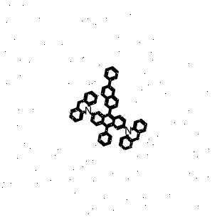 C1=CC2=C(CC1)Cc1ccccc1N2c1ccc2c(-c3ccc4cc(-c5ccccc5)ccc4c3)c3cc(N4c5ccccc5Cc5ccccc54)ccc3c(-c3ccccc3)c2c1